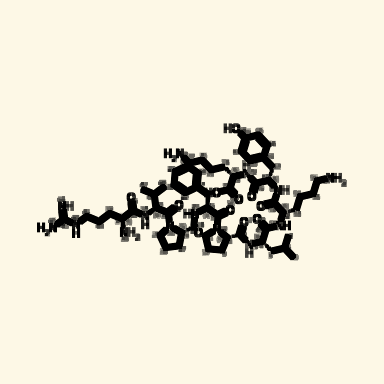 CC(C)C[C@H](NC(=O)[C@@H]1CCCN1C(=O)[C@H](Cc1ccccc1)NC(=O)[C@@H]1CCCN1C(=O)[C@@H](NC(=O)[C@@H](N)CCCNC(=N)N)C(C)C)C(=O)N[C@@H](CCCCN)C(=O)N[C@@H](Cc1ccc(O)cc1)C(=O)N[C@@H](CCCCN)C(=O)O